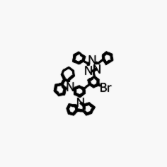 Brc1cc(-c2cc(-n3c4c(c5ccccc53)=CCCCC=4)cc(-n3c4ccccc4c4ccccc43)c2)cc(-c2nc(-c3ccccc3)nc(-c3ccccc3)n2)c1